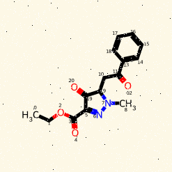 CCOC(=O)C1=NN(C)C(CC(=O)c2ccccc2)C1=O